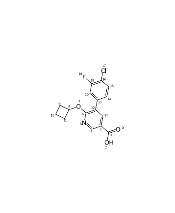 O=C(O)c1cnc(OC2CCC2)c(-c2ccc(Cl)c(F)c2)c1